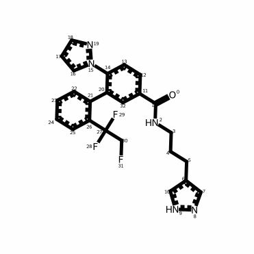 O=C(NCCCc1cn[nH]c1)c1ccc(-n2cccn2)c(-c2ccccc2C(F)(F)CF)c1